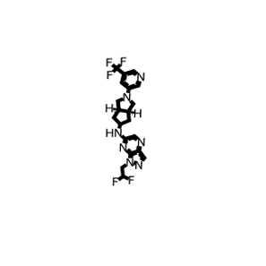 FC(F)Cn1ncc2ncc(NC3C[C@@H]4CN(c5cncc(C(F)(F)F)c5)C[C@@H]4C3)nc21